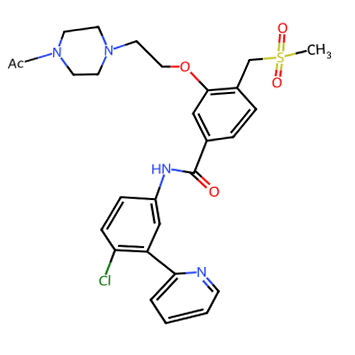 CC(=O)N1CCN(CCOc2cc(C(=O)Nc3ccc(Cl)c(-c4ccccn4)c3)ccc2CS(C)(=O)=O)CC1